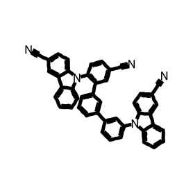 N#Cc1ccc(-n2c3ccccc3c3cc(C#N)ccc32)c(-c2cccc(-c3cccc(-n4c5ccccc5c5cc(C#N)ccc54)c3)c2)c1